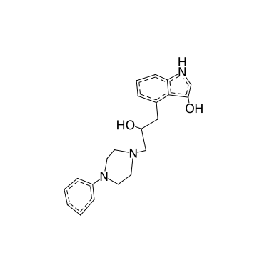 Oc1c[nH]c2cccc(CC(O)CN3CCN(c4ccccc4)CC3)c12